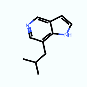 CC(C)Cc1cncc2cc[nH]c12